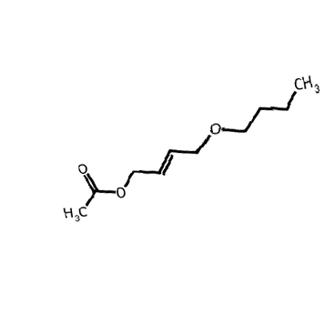 CCCCOCC=CCOC(C)=O